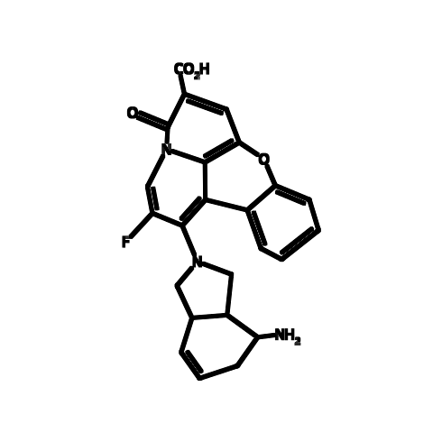 NC1CC=CC2CN(c3c(F)cn4c(=O)c(C(=O)O)cc5c4c3-c3ccccc3O5)CC12